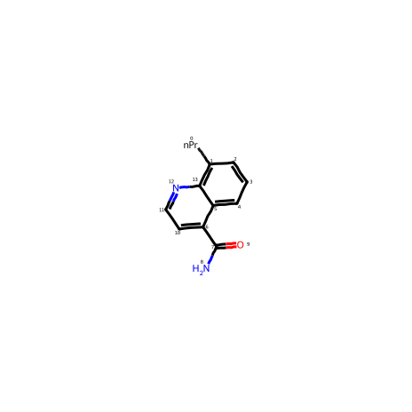 CCCc1cccc2c(C(N)=O)ccnc12